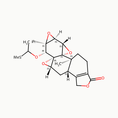 CSC(C)O[C@@H]1[C@@]2(C(C)C)O[C@H]2[C@@H]2O[C@]23[C@]12O[C@H]2C[C@H]1C2=C(CC[C@@]13C)C(=O)OC2